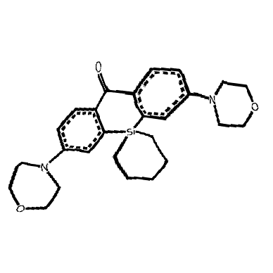 O=C1c2ccc(N3CCOCC3)cc2[Si]2(CCCCC2)c2cc(N3CCOCC3)ccc21